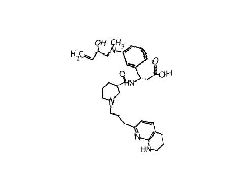 C=CC(O)CN(C)c1cccc([C@H](CC(=O)O)NC(=O)[C@@H]2CCCN(CCCc3ccc4c(n3)NCCC4)C2)c1